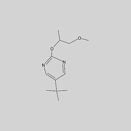 COCC(C)Oc1ncc(C(C)(C)C)cn1